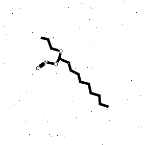 CCCCCCCCCC(OCCC)ON=O